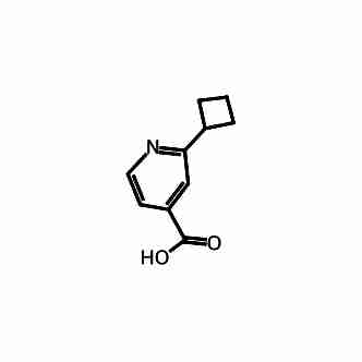 O=C(O)c1ccnc(C2CCC2)c1